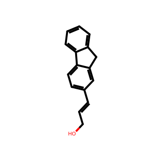 OCC=Cc1ccc2c(c1)Cc1ccccc1-2